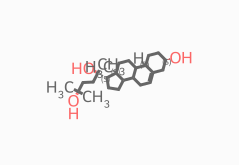 CC(C)(O)CCC(C)(O)[C@H]1CCC2C3CC=C4C[C@@H](O)CC[C@@H]4C3CC[C@@]21C